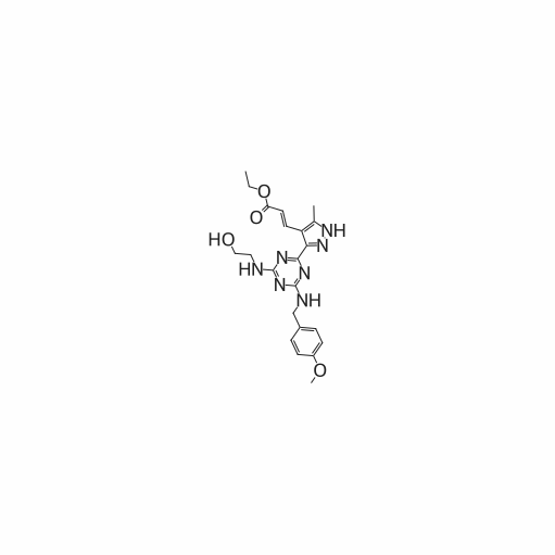 CCOC(=O)C=Cc1c(-c2nc(NCCO)nc(NCc3ccc(OC)cc3)n2)n[nH]c1C